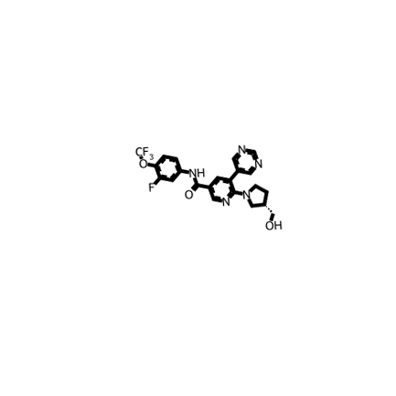 O=C(Nc1ccc(OC(F)(F)F)c(F)c1)c1cnc(N2CC[C@H](CO)C2)c(-c2cncnc2)c1